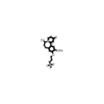 CCC1CCc2cc(OCCCS(C)(=O)=O)c(OC)cc2-c2cc(=O)ccn21